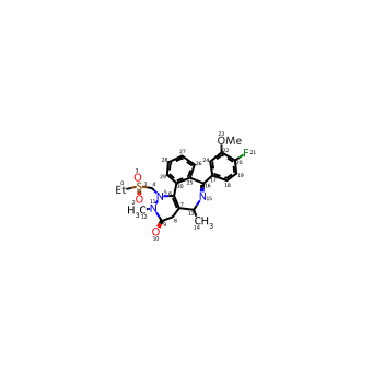 CCS(=O)(=O)CN1C2=C(CC(=O)N1C)C(C)N=C(c1ccc(F)c(OC)c1)c1ccccc12